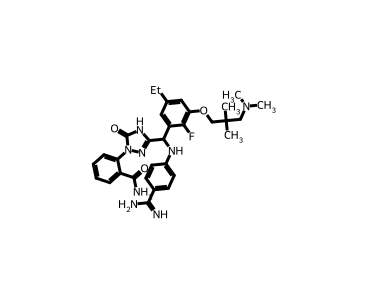 CCc1cc(OCC(C)(C)CN(C)C)c(F)c(C(Nc2ccc(C(=N)N)cc2)c2nn(-c3ccccc3C(N)=O)c(=O)[nH]2)c1